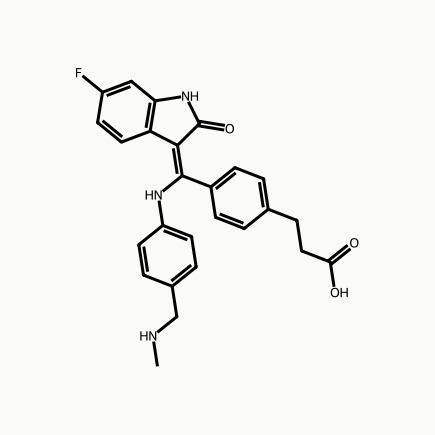 CNCc1ccc(NC(=C2C(=O)Nc3cc(F)ccc32)c2ccc(CCC(=O)O)cc2)cc1